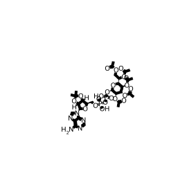 CC(=O)OCC(OC(C)=O)[C@H]1O[C@@H](OP(=O)(O)OP(=O)(O)OC[C@H]2O[C@@H](n3cnc4c(N)ncnc43)[C@@H]3OC(C)(C)O[C@@H]32)[C@@H](OC(C)=O)[C@@H](OC(C)=O)[C@@H]1OC(C)=O